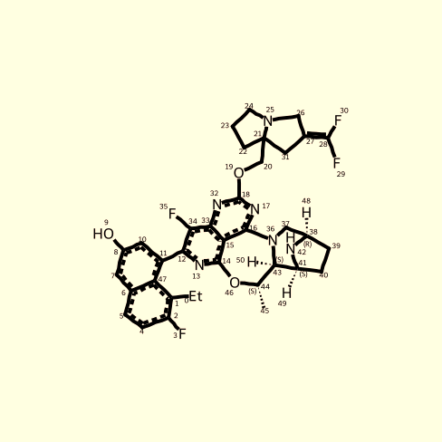 CCc1c(F)ccc2cc(O)cc(-c3nc4c5c(nc(OCC67CCCN6CC(=C(F)F)C7)nc5c3F)N3C[C@H]5CC[C@H](N5)[C@H]3[C@H](C)O4)c12